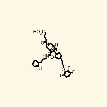 O=C(O)CCCC(=O)N1C[C@H]2CC(c3ccc(CCCOc4c(F)ccc(F)c4F)cc3)=C(C(=O)NCCCc3ccccc3Cl)[C@@H](C1)N2